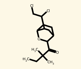 [CH2]CC(C)(C)C(=O)[C]1OC2CCC1CC2C(Cl)CCl